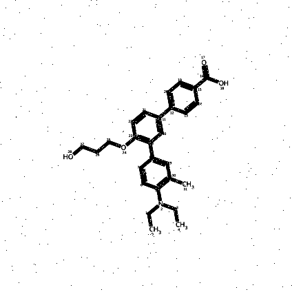 CCN(CC)c1ccc(-c2cc(-c3ccc(C(=O)O)cc3)ccc2OCCCO)cc1C